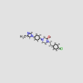 Cc1cn(-c2ccc(N3CCN(CCc4ccc(Cl)cc4)C(=O)C3)cc2)cn1